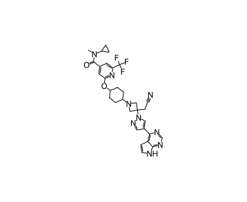 CN(C(=O)c1cc(OC2CCC(N3CC(CC#N)(n4cc(-c5ncnc6[nH]ccc56)cn4)C3)CC2)nc(C(F)(F)F)c1)C1CC1